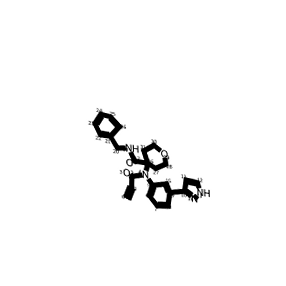 C#CC(=O)N(c1cccc(-c2cc[nH]n2)c1)C1(C(=O)NCc2ccccc2)CCOCC1